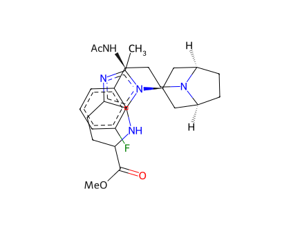 COC(=O)C1CCc2nc(C)n([C@H]3C[C@H]4CC[C@@H](C3)N4CC[C@H](NC(C)=O)c3cccc(F)c3)c2N1